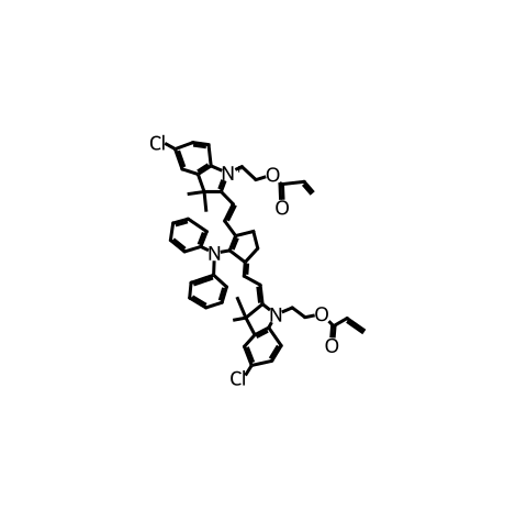 C=CC(=O)OCCN1/C(=C/C=C2\CCC(/C=C/C3=[N+](CCOC(=O)C=C)c4ccc(Cl)cc4C3(C)C)=C2N(c2ccccc2)c2ccccc2)C(C)(C)c2cc(Cl)ccc21